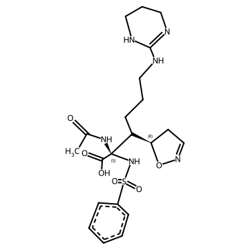 CC(=O)N[C@@](NS(=O)(=O)c1ccccc1)(C(=O)O)C(CCCNC1=NCCCN1)[C@H]1CC=NO1